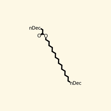 CCCCCCCCCCCCCCCCCCCCCCCCCOC(=O)CCCCCCCCCCC